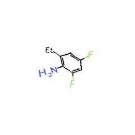 CCc1cc(F)cc(F)c1N